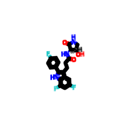 O=C(CCc1c(-c2ccc(F)cc2)[nH]c2c(F)cc(F)cc12)N[C@@H]1C(=O)NC[SiH]1O